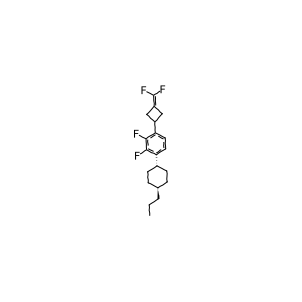 CCC[C@H]1CC[C@H](c2ccc(C3CC(=C(F)F)C3)c(F)c2F)CC1